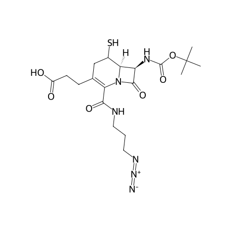 CC(C)(C)OC(=O)N[C@H]1C(=O)N2C(C(=O)NCCCN=[N+]=[N-])=C(CCC(=O)O)CC(S)[C@@H]12